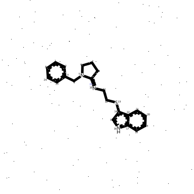 c1ccc(CN2CCC/C2=N\CCSc2c[nH]c3ccccc23)cc1